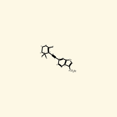 CCOC(=O)c1coc2cc(C#CC3=C(C)CCCC3(C)C)ccc12